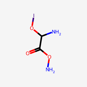 NOC(=O)C(N)OI